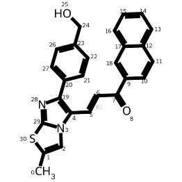 Cc1cn2c(/C=C/C(=O)c3ccc4ccccc4c3)c(-c3ccc(CO)cc3)nc2s1